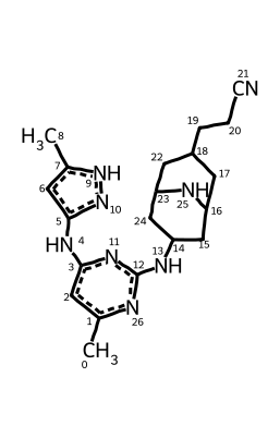 Cc1cc(Nc2cc(C)[nH]n2)nc(NC2CC3CC(CCC#N)CC(C2)N3)n1